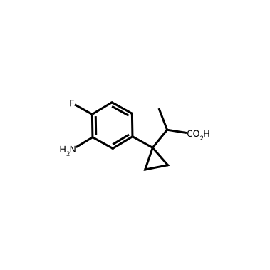 CC(C(=O)O)C1(c2ccc(F)c(N)c2)CC1